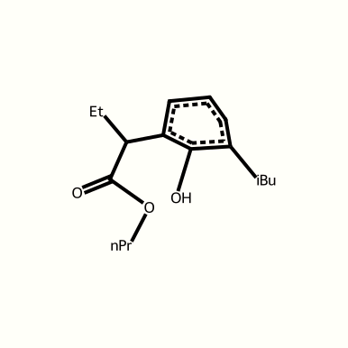 CCCOC(=O)C(CC)c1cccc(C(C)CC)c1O